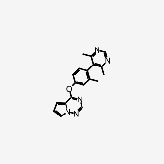 Cc1cc(Oc2ncnn3cccc23)ccc1-c1c(C)ncnc1C